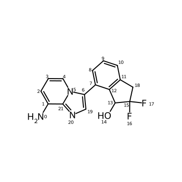 Nc1cccn2c(-c3cccc4c3C(O)C(F)(F)C4)cnc12